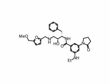 CCNc1cc(C(=O)N[C@@H](Cc2ccccc2)[C@@H](O)CNCc2ccc(COC)o2)cc(N2CCCC2=O)c1